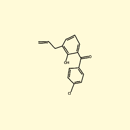 C=CCc1cccc(C(=O)c2ccc(Cl)cc2)c1O